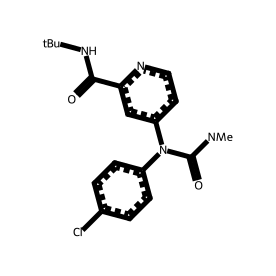 CNC(=O)N(c1ccc(Cl)cc1)c1ccnc(C(=O)NC(C)(C)C)c1